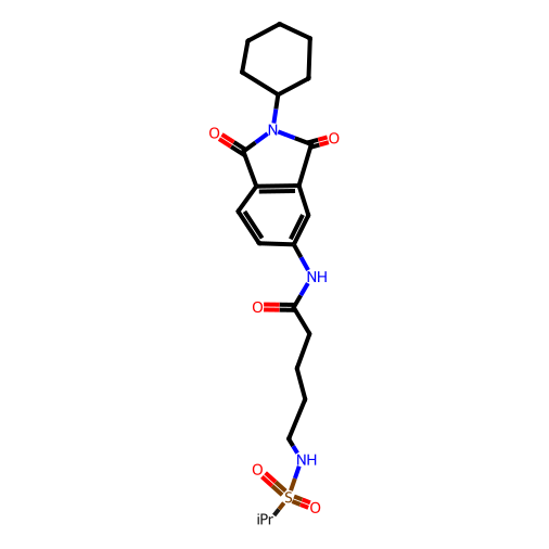 CC(C)S(=O)(=O)NCCCCC(=O)Nc1ccc2c(c1)C(=O)N(C1CCCCC1)C2=O